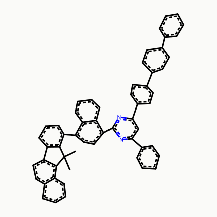 CC1(C)c2c(cccc2-c2ccc(-c3nc(-c4ccccc4)cc(-c4ccc(-c5ccc(-c6ccccc6)cc5)cc4)n3)c3ccccc23)-c2ccc3ccccc3c21